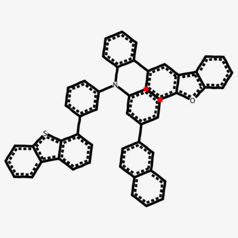 c1cc(-c2ccc3ccccc3c2)cc(N(c2cccc(-c3cccc4c3sc3ccccc34)c2)c2ccccc2-c2ccc3oc4ccccc4c3c2)c1